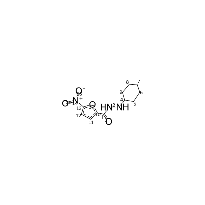 O=C(NNC1CCCCC1)c1ccc([N+](=O)[O-])o1